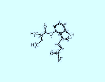 CCN(C)C(=O)Oc1cccc2[nH]cc(C=C[N+](=O)[O-])c12